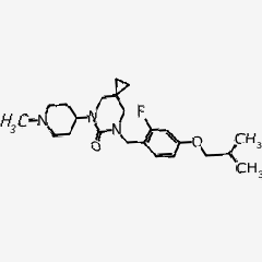 CC(C)COc1ccc(CN2CC3(CC3)CN(C3CCN(C)CC3)C2=O)c(F)c1